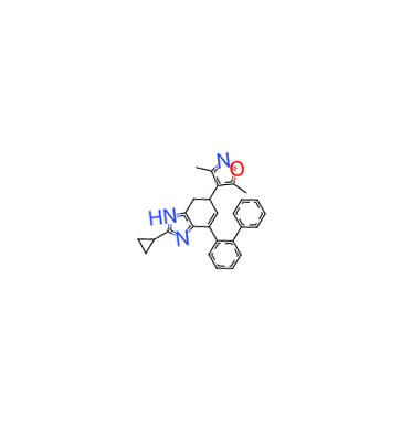 Cc1noc(C)c1C1C=C(c2ccccc2-c2ccccc2)c2nc(C3CC3)[nH]c2C1